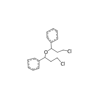 ClCCC(OC(CCCl)c1ccccc1)c1ccccc1